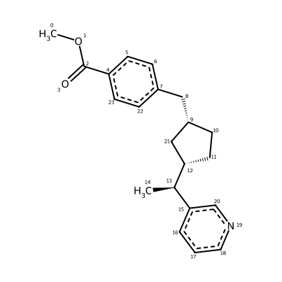 COC(=O)c1ccc(C[C@@H]2CC[C@H]([C@H](C)c3cccnc3)C2)cc1